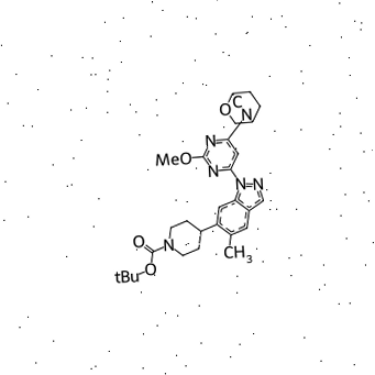 COc1nc(N2CC3CCC2CO3)cc(-n2ncc3cc(C)c(C4CCN(C(=O)OC(C)(C)C)CC4)cc32)n1